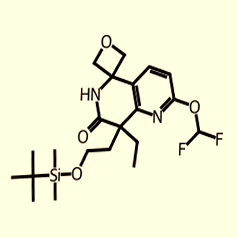 CCC1(CCO[Si](C)(C)C(C)(C)C)C(=O)NC2(COC2)c2ccc(OC(F)F)nc21